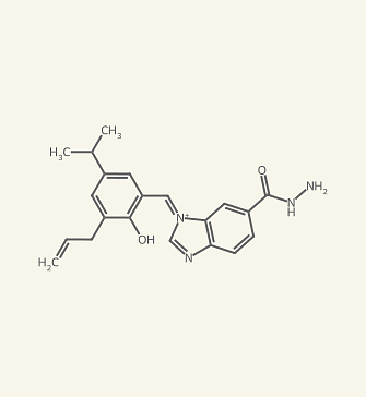 C=CCc1cc(C(C)C)cc(C=[N+]2C=Nc3ccc(C(=O)NN)cc32)c1O